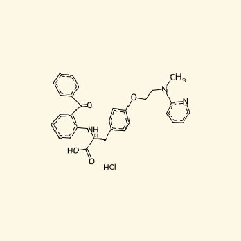 CN(CCOc1ccc(C[C@H](Nc2ccccc2C(=O)c2ccccc2)C(=O)O)cc1)c1ccccn1.Cl